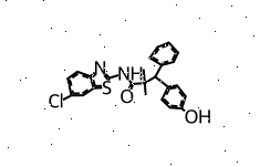 CC(C)(C(=O)Nc1nc2ccc(Cl)cc2s1)C(c1ccccc1)c1ccc(O)cc1